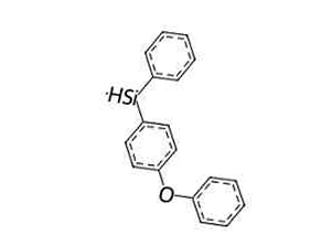 c1ccc(Oc2ccc([SiH]c3ccccc3)cc2)cc1